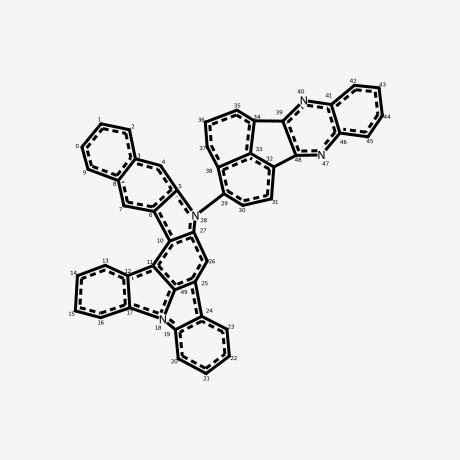 c1ccc2cc3c(cc2c1)c1c2c4ccccc4n4c5ccccc5c(cc1n3-c1ccc3c5c(cccc15)-c1nc5ccccc5nc1-3)c24